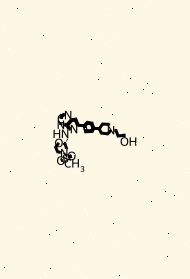 CS(=O)(=O)N1CCO[C@H](CNc2nc(-c3ccc(C4CCN(CCCO)CC4)cc3)cc3nccnc23)C1